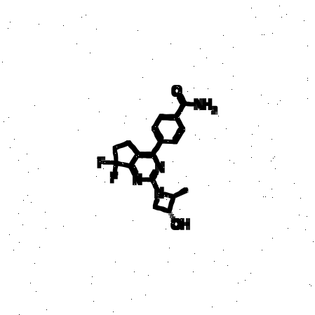 C[C@H]1[C@H](O)CN1c1nc(-c2ccc(C(N)=O)cc2)c2c(n1)C(F)(F)CC2